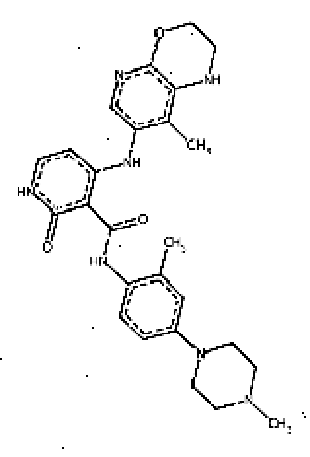 Cc1cc(N2CCN(C)CC2)ccc1NC(=O)c1c(Nc2cnc3c(c2C)NCCO3)cc[nH]c1=O